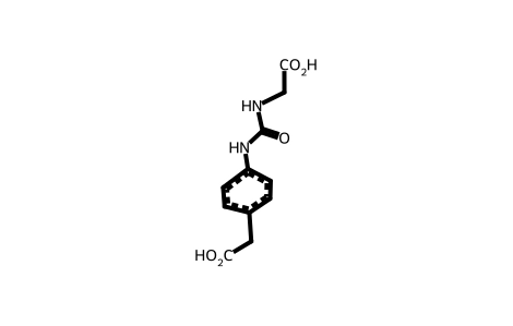 O=C(O)CNC(=O)Nc1ccc(CC(=O)O)cc1